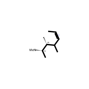 C/C=C\C(C)[C@@H](C)[C@H](C)NC